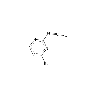 CCc1ncnc(N=C=O)n1